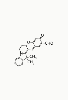 CC1(C)C2=C3C=C4C=C(C=O)C(=O)C=C4OC3CCN2c2ccccc21